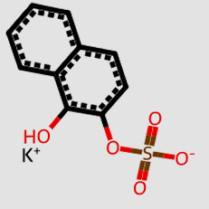 O=S(=O)([O-])Oc1ccc2ccccc2c1O.[K+]